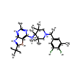 [2H]c1nc(N([2H])C2([2H])C([2H])([2H])CN(C([2H])c3cc(F)c(F)c(C#N)c3)CC2([2H])[2H])c2sc(C([2H])(C)C)nc2n1